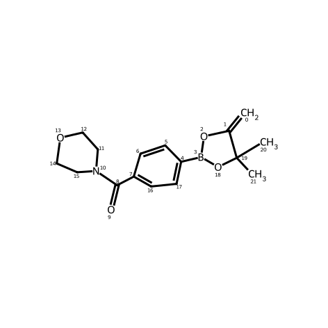 C=C1OB(c2ccc(C(=O)N3CCOCC3)cc2)OC1(C)C